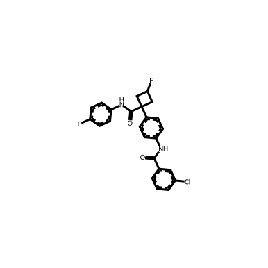 O=C(Nc1ccc(C2(C(=O)Nc3ccc(F)cc3)CC(F)C2)cc1)c1cccc(Cl)c1